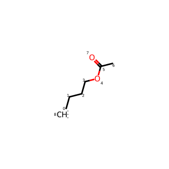 CCCCOC(C)=O.[CH]